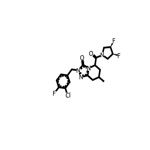 CC1Cc2nn(Cc3ccc(F)c(Cl)c3)c(=O)n2C(C(=O)N2C[C@@H](F)[C@@H](F)C2)C1